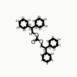 O=C(OCC(c1ccccc1)c1ccccc1)OCC(c1ccccc1)c1ccccc1